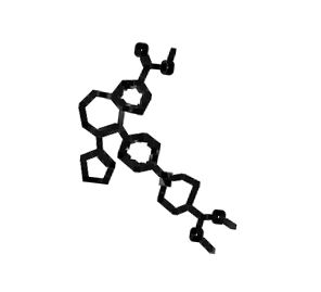 COC(=O)c1ccc2c(c1)CCCC(C1=CCCC1)=C2c1ccc(N2CCC(C(OC)OC)CC2)cc1